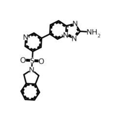 Nc1nc2ccc(-c3cncc(S(=O)(=O)N4Cc5ccccc5C4)c3)cn2n1